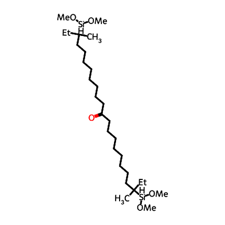 CCC(C)(CCCCCCCCC(=O)CCCCCCCCC(C)(CC)[SiH](OC)OC)[SiH](OC)OC